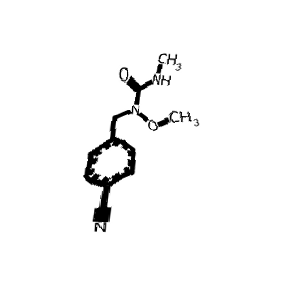 CNC(=O)N(Cc1ccc(C#N)cc1)OC